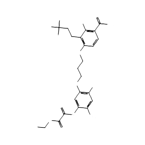 CCOC(=O)C(=O)Nc1cc(OCCCOc2ccc(C(C)=O)c(O)c2CCC(F)(F)F)c(Cl)cc1C